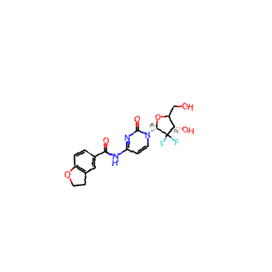 O=C(Nc1ccn([C@@H]2OC(CO)[C@H](O)C2(F)F)c(=O)n1)c1ccc2c(c1)CCO2